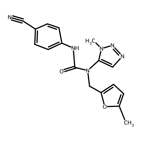 Cc1ccc(CN(C(=O)Nc2ccc(C#N)cc2)c2cnnn2C)o1